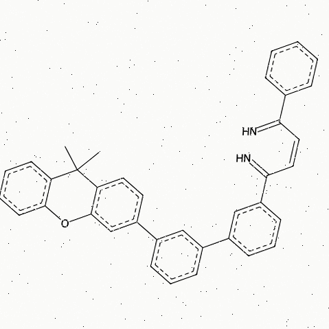 CC1(C)c2ccccc2Oc2cc(-c3cccc(-c4cccc(C(=N)/C=C\C(=N)c5ccccc5)c4)c3)ccc21